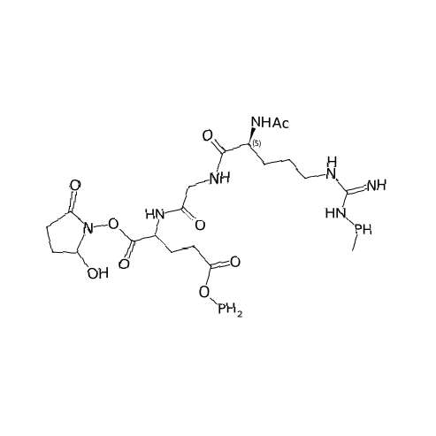 CPNC(=N)NCCC[C@H](NC(C)=O)C(=O)NCC(=O)NC(CCC(=O)OP)C(=O)ON1C(=O)CCC1O